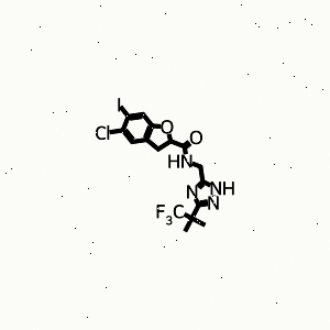 CC(C)(c1n[nH]c(CNC(=O)C2Cc3cc(Cl)c(I)cc3O2)n1)C(F)(F)F